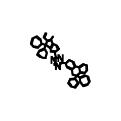 C=CC1=C(C)c2ccc(-c3ncnc(C4C=C5CC(C6=CC=CC=CC6)(c6ccccc6)c6ccccc6C5=CC4)n3)cc2C1(C1=CC=CCC1)C1C=CC=CC=C1